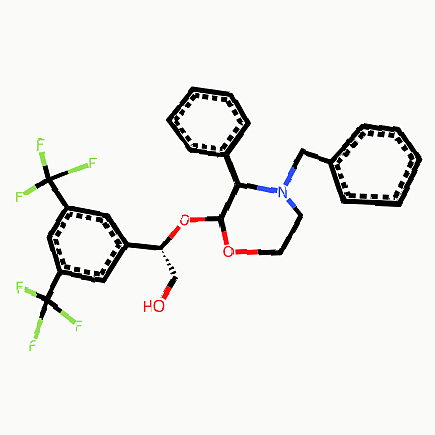 OC[C@@H](OC1OCCN(Cc2ccccc2)C1c1ccccc1)c1cc(C(F)(F)F)cc(C(F)(F)F)c1